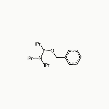 CC(C)N(C(C)C)P(OCc1ccccc1)C(C)C